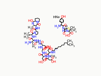 CC1(C)S[C@@H]2[C@H](NC(=O)[C@H](N)c3ccc(O)cc3)C(=O)N2[C@H]1C(=O)O.CCC(C)CCCCC/C=C/CC(=O)NC(CC(=O)O)C(=O)N(C)C(CC(=O)O)C(=O)NC(CC(=O)O)C(=O)NCC(=O)NC(CC(=O)O)C(=O)NCC(=O)NC(C(=O)NC(C(=O)N1CCCC1C(=O)NC1C(=O)N2CCCCC2C(O)=NC1C)C(C)C)C(C)N.[NaH]